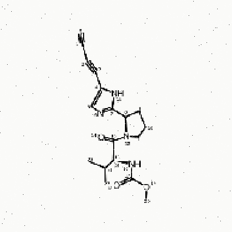 C#CC#Cc1cnc(C2CCCN2C(=O)[C@@H](NC(=O)OC)C(C)C)[nH]1